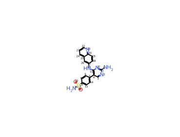 Nc1ncc(-c2ccc(S(N)(=O)=O)cc2)c(Nc2ccc3ncccc3c2)n1